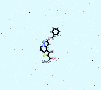 COC(=O)c1sc2ccn3nc(OCc4ccccc4)cc3c2c1Br